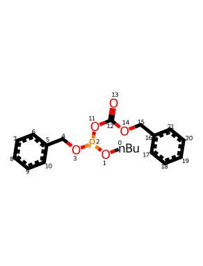 CCCCOP(OCc1ccccc1)OC(=O)OCc1ccccc1